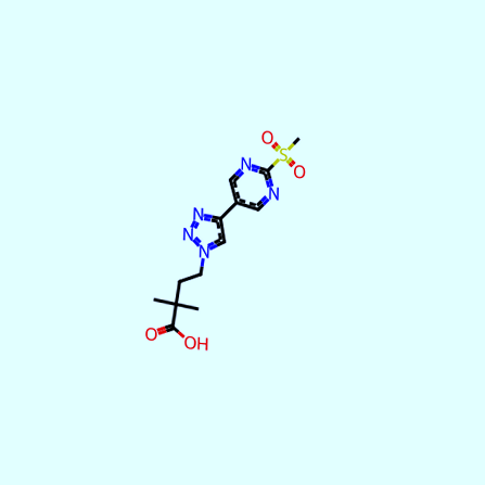 CC(C)(CCn1cc(-c2cnc(S(C)(=O)=O)nc2)nn1)C(=O)O